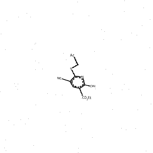 CCOC(=O)c1cc(C#N)c(SCC(C)=O)nc1O